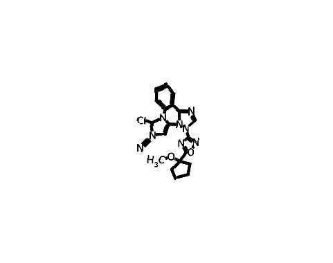 COC1(c2nc(N3C=NC4c5ccccc5N5C(=CN(C#N)C5Cl)N43)no2)CCCC1